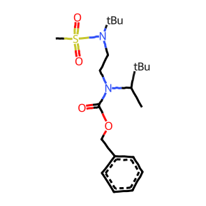 CC(N(CCN(C(C)(C)C)S(C)(=O)=O)C(=O)OCc1ccccc1)C(C)(C)C